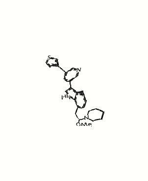 COC(Cc1cccc2c(-c3cncc(-c4ccsc4)c3)c[nH]c12)N1CCCCC1